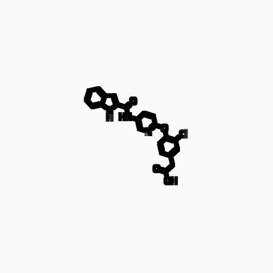 O=C(O)Cc1ccc(Oc2ccc(NC(=O)c3cc4ccccc4[nH]3)cn2)c(Cl)c1